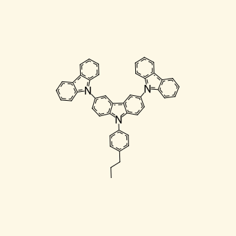 CCCc1ccc(-n2c3ccc(-n4c5ccccc5c5ccccc54)cc3c3cc(-n4c5ccccc5c5ccccc54)ccc32)cc1